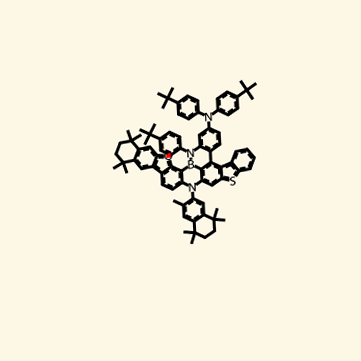 Cc1cc2c(cc1N1c3cc4sc5ccccc5c4c4c3B(c3c1ccc1c3oc3cc5c(cc31)C(C)(C)CCC5(C)C)N(c1ccc(C(C)(C)C)cc1)c1cc(N(c3ccc(C(C)(C)C)cc3)c3ccc(C(C)(C)C)cc3)ccc1-4)C(C)(C)CCC2(C)C